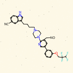 N#Cc1ccc2[nH]cc(CCCCN3CCN(c4ncc(-c5cccc(OCC(F)(F)C(F)F)c5)cc4CN=O)CC3)c2c1